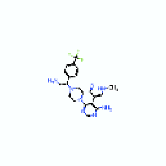 CN/C=C(\C=N)c1c(N)ncnc1N1CCN([C@@H](CN)c2ccc(C(F)(F)F)cc2)CC1